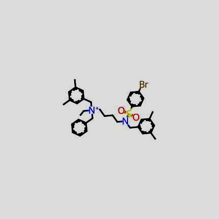 CC[N+](CCCCN(Cc1cc(C)cc(C)c1)S(=O)(=O)c1ccc(Br)cc1)(Cc1ccccc1)Cc1cc(C)cc(C)c1